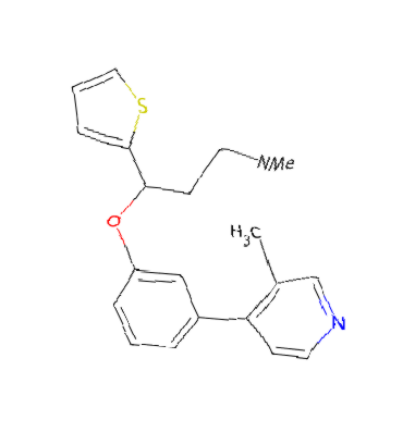 CNCCC(Oc1cccc(-c2ccncc2C)c1)c1cccs1